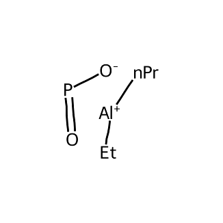 CC[CH2][Al+][CH2]C.O=P[O-]